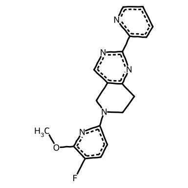 COc1nc(N2CCc3nc(-c4ccccn4)ncc3C2)ccc1F